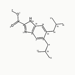 COC(=O)c1nc2cc(CC(C)C)c(CC(C)C)cc2[nH]1